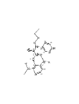 CCCCN(C(=S)NOc1c(C(C)C)cccc1C(C)C)c1ccccc1